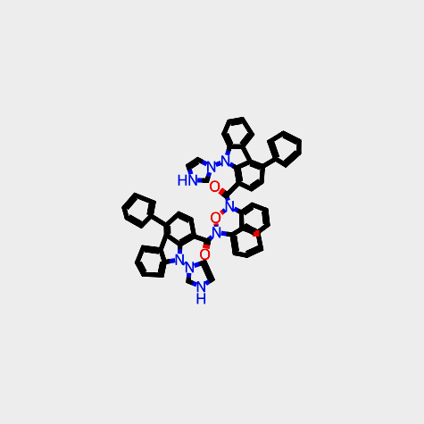 O=C(c1ccc(-c2ccccc2)c2c3ccccc3n(N3C=CNC3)c12)N(ON(C(=O)c1ccc(-c2ccccc2)c2c3ccccc3n(N3C=CNC3)c12)c1ccccc1)c1ccccc1